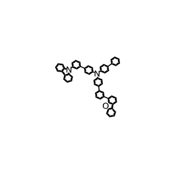 c1ccc(-c2ccc(N(c3ccc(-c4cccc(-c5cccc6c5oc5ccccc56)c4)cc3)c3ccc(-c4cccc(-n5c6ccccc6c6ccccc65)c4)cc3)cc2)cc1